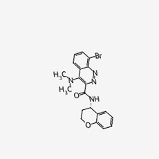 CN(C)c1c(C(=O)N[C@H]2CCOc3ccccc32)nnc2c(Br)cccc12